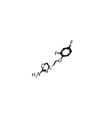 NC1=N[C@@H](CCOc2ccc(F)cc2F)CO1